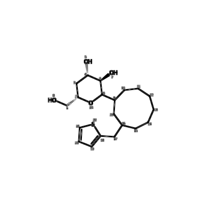 OC[C@@H]1C[C@H](O)[C@@H](O)C(C2CCCCCCC(Cc3cccs3)C2)O1